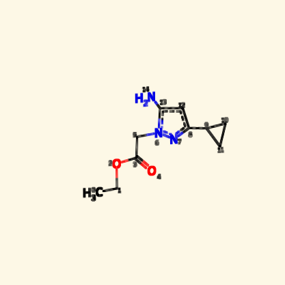 CCOC(=O)Cn1nc(C2CC2)cc1N